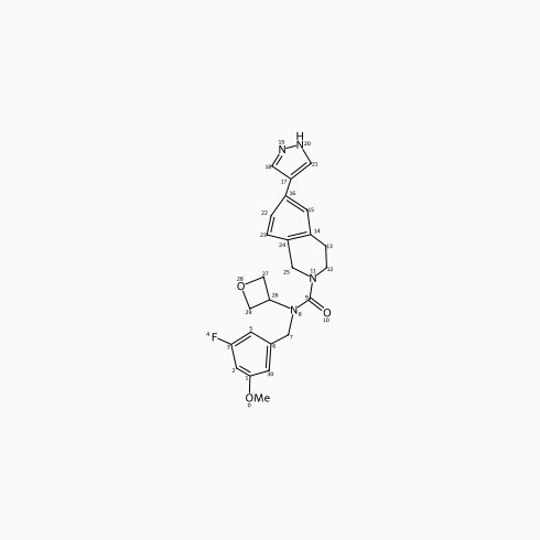 COc1cc(F)cc(CN(C(=O)N2CCc3cc(-c4cn[nH]c4)ccc3C2)C2COC2)c1